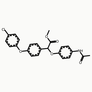 COC(=O)C(Oc1ccc(NC(C)=O)cc1)c1ccc(Oc2ccc(Cl)cc2)cc1